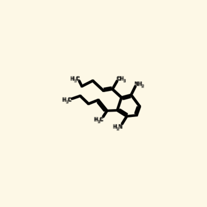 CCCC=C(C)c1c(N)ccc(N)c1C(C)=CCCC